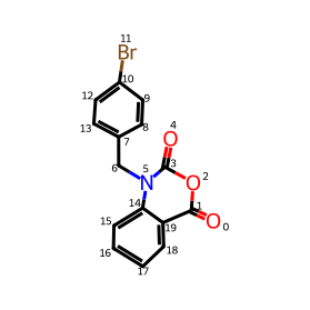 O=c1oc(=O)n(Cc2ccc(Br)cc2)c2ccccc12